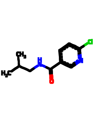 CC(C)CNC(=O)c1ccc(Cl)nc1